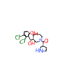 O=C([C@H]1CCNC1)N1CCCC[C@H]([C@H](O)c2c(O)ccc(Cl)c2Cl)CC1